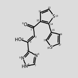 O=C(C=C(O)c1nc[nH]n1)c1ccsc1-c1ccsc1